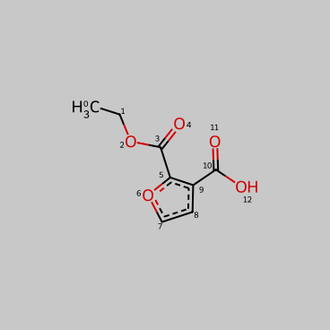 CCOC(=O)c1occc1C(=O)O